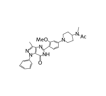 COc1cc(N2CCC(N(C)C(C)=O)CC2)ccc1-c1nc2c(C)nn(-c3ccccc3)c2c(=O)[nH]1